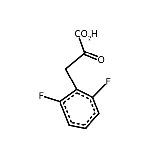 O=C(O)C(=O)Cc1c(F)cccc1F